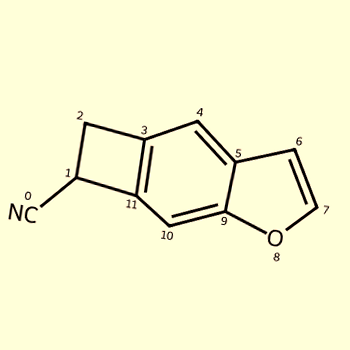 N#CC1Cc2cc3ccoc3cc21